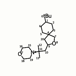 CC(C)(C)C1CCC2(CC1)COC(CC(C)(C)N1CCOCC1)C2